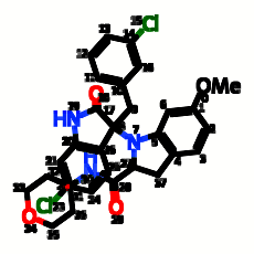 COc1ccc2c(c1)N(C1(Cc3cccc(Cl)c3)C(=O)Nc3cc(Cl)ccc31)C(C(=O)NC1CCOCC1)C2